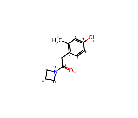 Cc1cc(O)ccc1CC(=O)N1CCC1